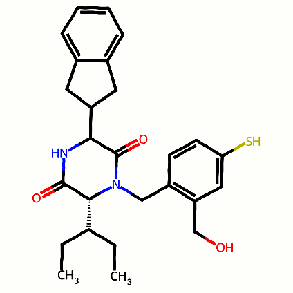 CCC(CC)[C@@H]1C(=O)NC(C2Cc3ccccc3C2)C(=O)N1Cc1ccc(S)cc1CO